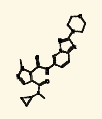 CN(C(=O)c1cnn(C)c1C(=O)Nc1ccc2nc(N3CCOCC3)nn2c1)C1CC1